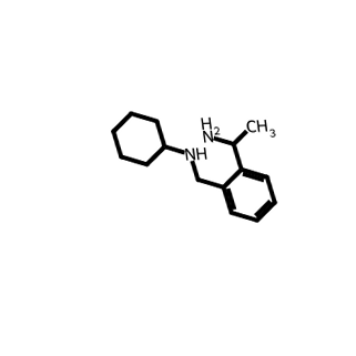 CC(N)c1ccccc1CNC1CCCCC1